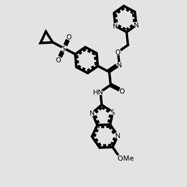 COc1ccc2nc(NC(=O)/C(=N/OCc3ncccn3)c3ccc(S(=O)(=O)C4CC4)cc3)sc2n1